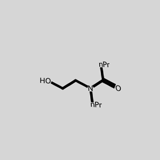 CCCC(=O)N(CCC)CCO